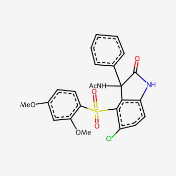 COc1ccc(S(=O)(=O)c2c(Cl)ccc3c2C(NC(C)=O)(c2ccccc2)C(=O)N3)c(OC)c1